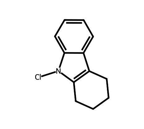 Cln1c2c(c3ccccc31)CCCC2